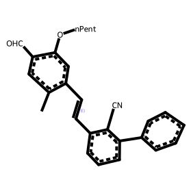 CCCCCOc1cc(/C=C/c2cccc(-c3ccccc3)c2C#N)c(C)cc1C=O